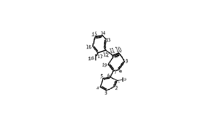 Ic1ccccc1-c1cccc(-c2ccccc2I)c1